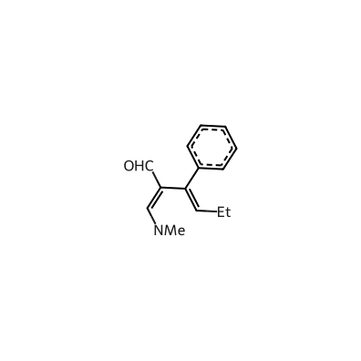 CC/C=C(/C(C=O)=C\NC)c1ccccc1